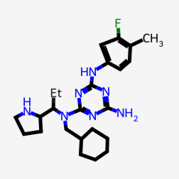 CCC(C1CCCN1)N(CC1CCCCC1)c1nc(N)nc(Nc2ccc(C)c(F)c2)n1